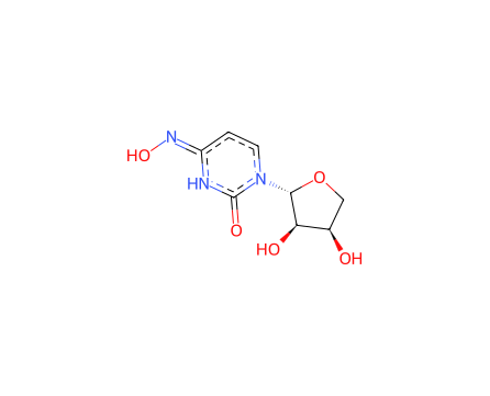 O=c1[nH]/c(=N\O)ccn1[C@@H]1OC[C@@H](O)[C@H]1O